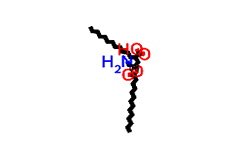 CCCCCCCCCCCCCC(=O)O[C@@H](CN)CC(CCCCCCCCCCCC)C(=O)O